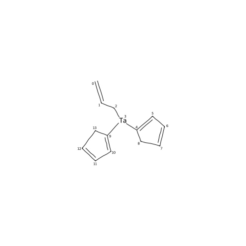 C=C[CH2][Ta]([C]1=CC=CC1)[C]1=CC=CC1